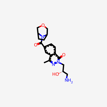 Cc1nn(C[C@@H](O)CN)c(=O)c2ccc(C(=O)N3C4CCC3COC4)cc12